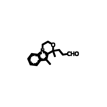 Cc1c2n(c3ccccc13)CCOC2(C)CCC=O